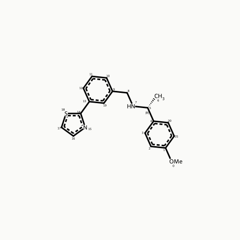 COc1ccc([C@@H](C)NCc2cccc(-c3nccs3)c2)cc1